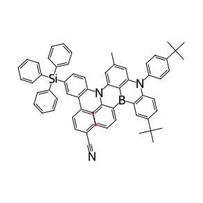 Cc1cc2c3c(c1)N(c1ccc([Si](c4ccccc4)(c4ccccc4)c4ccccc4)cc1-c1ccc(C#N)cc1)c1ccccc1B3c1cc(C(C)(C)C)ccc1N2c1ccc(C(C)(C)C)cc1